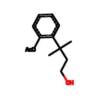 CC(=O)Oc1ccccc1C(C)(C)CCO